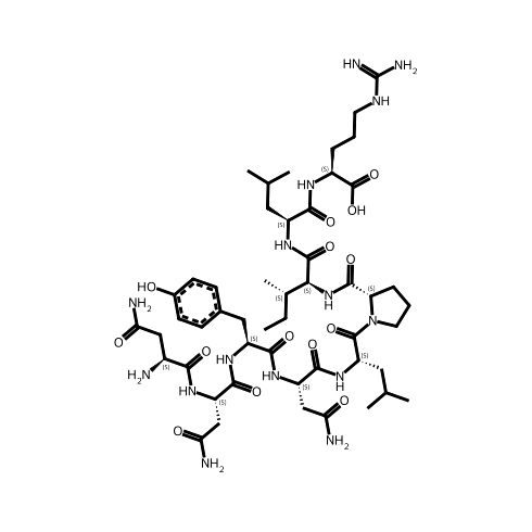 CC[C@H](C)[C@H](NC(=O)[C@@H]1CCCN1C(=O)[C@H](CC(C)C)NC(=O)[C@H](CC(N)=O)NC(=O)[C@H](Cc1ccc(O)cc1)NC(=O)[C@H](CC(N)=O)NC(=O)[C@@H](N)CC(N)=O)C(=O)N[C@@H](CC(C)C)C(=O)N[C@@H](CCCNC(=N)N)C(=O)O